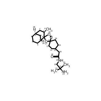 C[C@@H]1C[C@@H]2CCC[C@@H](C2)C12OOC1(CCC(CC(=O)NCC(C)(C)N)CC1)O2